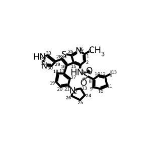 Cc1cc(NS(=O)(=O)c2cccc(I)c2)c2c(-c3cccc(N4CCCC4)c3)c(-c3cn[nH]c3)sc2n1